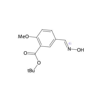 COc1ccc(/C=N/O)cc1C(=O)OC(C)(C)C